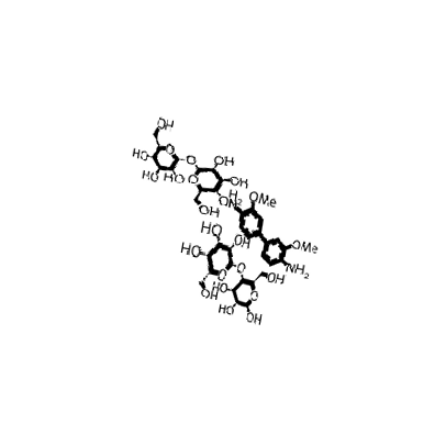 COc1cc(-c2ccc(N)c(OC)c2)ccc1N.OC[C@H]1O[C@@H](O[C@H]2[C@H](O)[C@@H](O)[C@H](O)O[C@@H]2CO)[C@H](O)[C@@H](O)[C@H]1O.OC[C@H]1O[C@H](O[C@H]2O[C@H](CO)[C@@H](O)[C@H](O)[C@H]2O)[C@H](O)[C@@H](O)[C@@H]1O